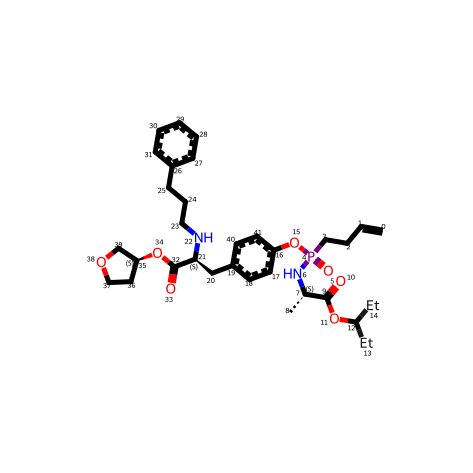 C=CCCP(=O)(N[C@@H](C)C(=O)OC(CC)CC)Oc1ccc(C[C@H](NCCCc2ccccc2)C(=O)O[C@H]2CCOC2)cc1